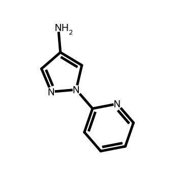 Nc1cnn(-c2ccccn2)c1